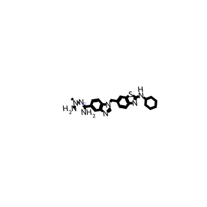 CN(N)/N=C(\N)c1ccc2c(c1)ncn2Cc1ccc2nc(NC3CCCCC3)sc2c1